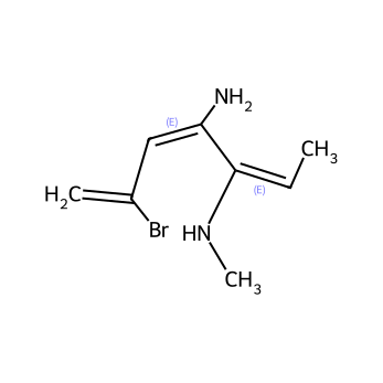 C=C(Br)/C=C(N)\C(=C/C)NC